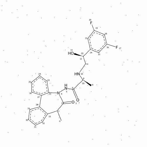 CC1C(=O)N(NC(=O)[C@H](C)NC[C@@H](O)c2cc(F)cc(F)c2)c2ccccc2-c2ccccc21